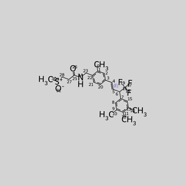 Cc1cc(/C=C/C(c2cc(C)c(C)c(C)c2)C(F)(F)F)ccc1CNC(=O)CC[S+](C)[O-]